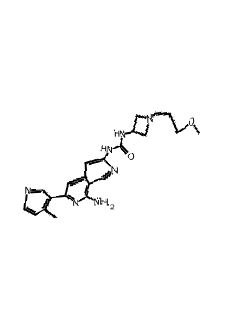 COCCN1CC(NC(=O)Nc2cc3cc(-c4cnccc4C)nc(N)c3cn2)C1